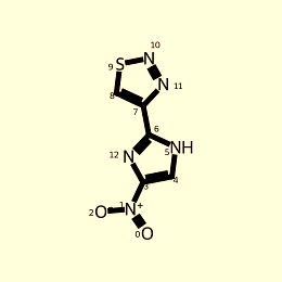 O=[N+]([O-])c1c[nH]c(-c2csnn2)n1